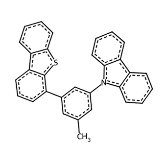 Cc1cc(-c2cccc3c2sc2ccccc23)cc(-n2c3ccccc3c3ccccc32)c1